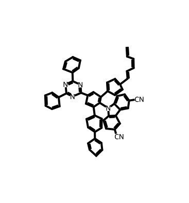 C=C/C=C\C=C\c1ccc(-c2cc(-c3nc(-c4ccccc4)nc(-c4ccccc4)n3)cc(-c3ccc(-c4ccccc4)cc3)c2-n2c3ccc(C#N)cc3c3cc(C#N)ccc32)cc1